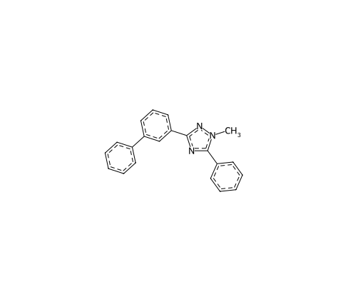 Cn1nc(-c2cccc(-c3ccccc3)c2)nc1-c1ccccc1